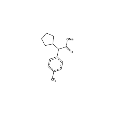 COC(=O)C(c1ccc(C(F)(F)F)cc1)C1CCCC1